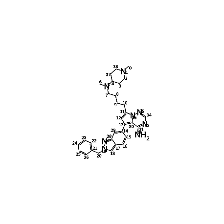 CN1CCC(N(C)CCCCc2cc(-c3ccc4cn(Cc5ccccc5)nc4c3)c3c(N)ncnn23)CC1